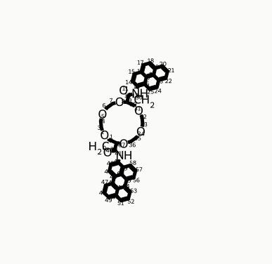 C=C1OCCOCCOC(C(=O)Nc2ccc3ccc4cccc5ccc2c3c45)C(=C)OCCOCCOC1C(=O)Nc1ccc2c3cccc4cccc(c5cccc1c52)c43